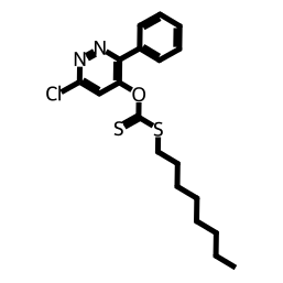 CCCCCCCCSC(=S)Oc1cc(Cl)nnc1-c1ccccc1